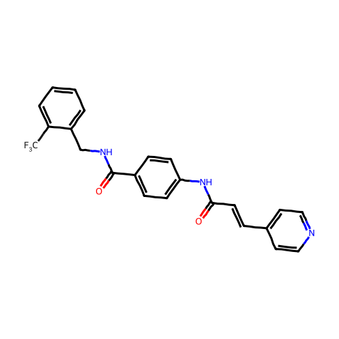 O=C(C=Cc1ccncc1)Nc1ccc(C(=O)NCc2ccccc2C(F)(F)F)cc1